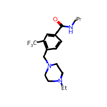 CCN1CCN(Cc2ccc(C(=O)NC(C)C)cc2C(F)(F)F)CC1